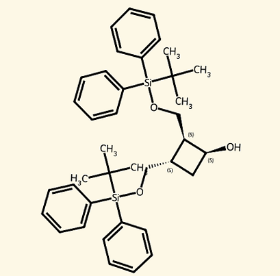 CC(C)(C)[Si](OC[C@H]1C[C@H](O)[C@@H]1CO[Si](c1ccccc1)(c1ccccc1)C(C)(C)C)(c1ccccc1)c1ccccc1